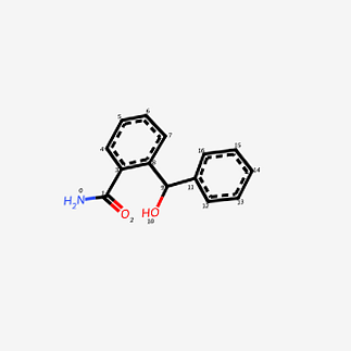 NC(=O)c1ccccc1C(O)c1ccccc1